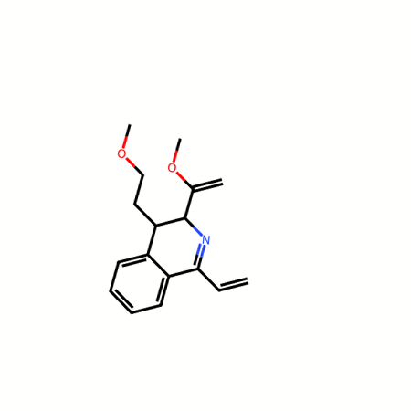 C=CC1=NC(C(=C)OC)C(CCOC)c2ccccc21